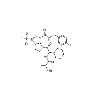 CNC(C)C(=O)NC(C(=O)N1CCC2C1C(C(=O)NCc1ccc(F)cc1)CN2S(C)(=O)=O)C1CCCCC1